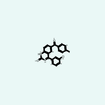 Cc1ccc(C(=O)c2ccc3[nH]c(=O)nc(-c4cccc(Cl)c4)c3c2)cc1